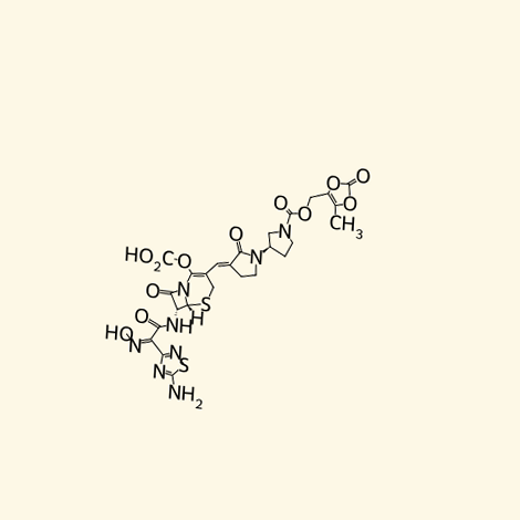 Cc1oc(=O)oc1COC(=O)N1CC[C@@H](N2CC/C(=C\C3=C(OC(=O)O)N4C(=O)[C@@H](NC(=O)/C(=N\O)c5nsc(N)n5)[C@H]4SC3)C2=O)C1